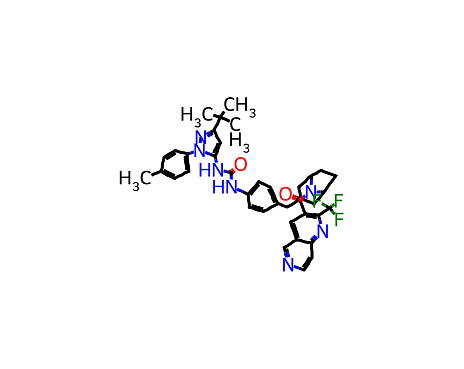 Cc1ccc(-n2nc(C(C)(C)C)cc2NC(=O)Nc2ccc(CC3CC4CCC(C3)N4C(=O)c3cc4cnccc4nc3C(F)(F)F)cc2)cc1